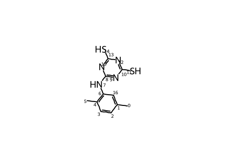 Cc1ccc(C)c(Nc2nc(S)nc(S)n2)c1